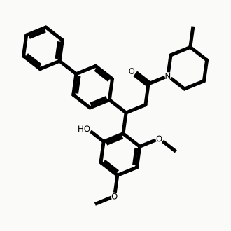 COc1cc(O)c(C(CC(=O)N2CCCC(C)C2)c2ccc(-c3ccccc3)cc2)c(OC)c1